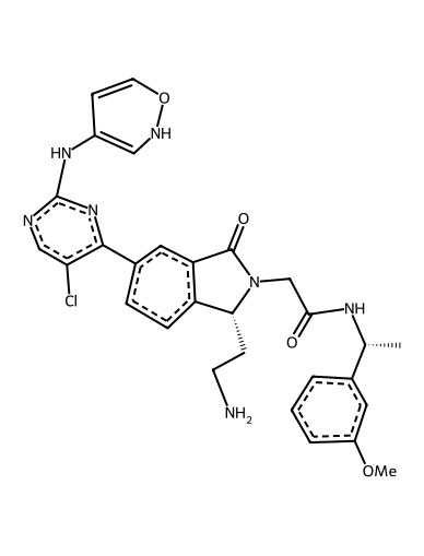 COc1cccc([C@@H](C)NC(=O)CN2C(=O)c3cc(-c4nc(NC5=CNOC=C5)ncc4Cl)ccc3[C@H]2CCN)c1